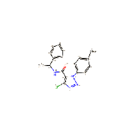 COc1ccc(-n2nnc(Cl)c2C(=O)NC([C]=O)c2ccccc2)cc1